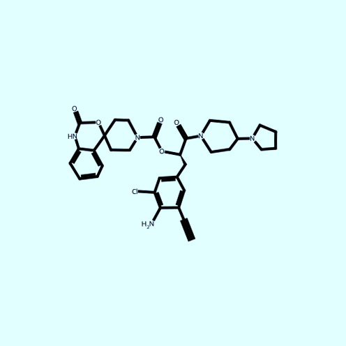 C#Cc1cc(C[C@@H](OC(=O)N2CCC3(CC2)OC(=O)Nc2ccccc23)C(=O)N2CCC(N3CCCC3)CC2)cc(Cl)c1N